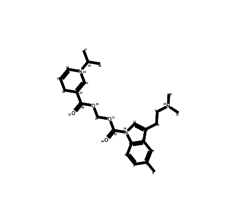 Cc1ccc2c(c1)c(CCN(C)C)cn2C(=O)OCOC(=O)C1=CN(C(C)C)C=CC1